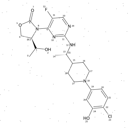 CC(O)[C@H]1COC(=O)N1c1nc(N[C@@H](C)C2CCN(c3ccc(Cl)c(O)c3)CC2)ncc1F